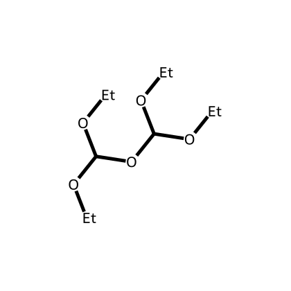 CCOC(OCC)OC(OCC)OCC